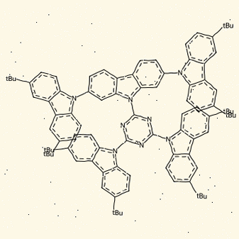 CC(C)(C)c1ccc2c(c1)c1cc(C(C)(C)C)ccc1n2-c1ccc2c3ccc(-n4c5ccc(C(C)(C)C)cc5c5cc(C(C)(C)C)ccc54)cc3n(-c3nc(-n4c5ccc(C(C)(C)C)cc5c5cc(C(C)(C)C)ccc54)nc(-n4c5ccc(C(C)(C)C)cc5c5cc(C(C)(C)C)ccc54)n3)c2c1